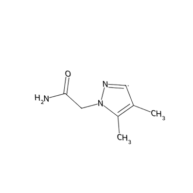 Cc1[c]nn(CC(N)=O)c1C